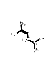 CCCCN(CCC)[SiH2]C=C(C)C